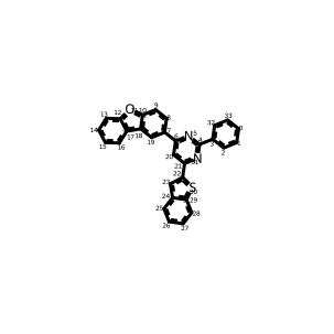 c1ccc(-c2nc(-c3ccc4oc5ccccc5c4c3)cc(-c3cc4ccccc4s3)n2)cc1